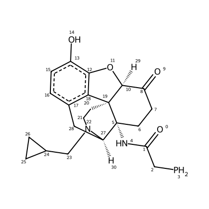 O=C(CP)N[C@@]12CCC(=O)[C@@H]3Oc4c(O)ccc5c4[C@@]31CCN(CC1CC1)[C@@H]2C5